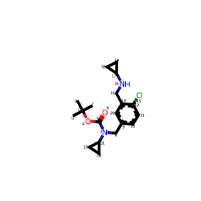 CC(C)(C)OC(=O)N(Cc1ccc(Cl)c(CNC2CC2)c1)C1CC1